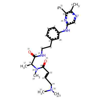 Cc1ncc(Nc2cccc(CCNC(=O)[C@H](C)N(C)C(=O)/C=C/CN(C)C)c2)nc1C(C)C